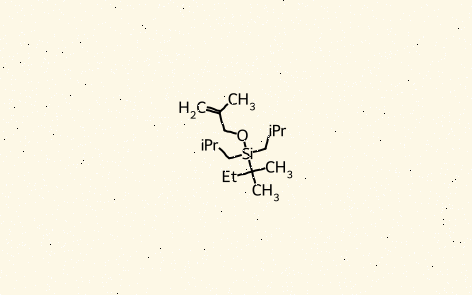 C=C(C)CO[Si](CC(C)C)(CC(C)C)C(C)(C)CC